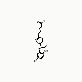 CCN(Cc1cc(Br)ccc1O)c1ccc(CCCCC(=O)O)nn1